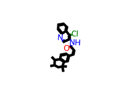 CC1CC(C)(C)c2cc(/C=C\C(=O)Nc3cnc4ccccc4c3Cl)ccc2C1C